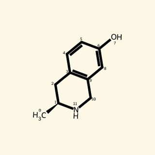 C[C@H]1Cc2ccc(O)cc2CN1